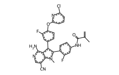 C=C(C)C(=O)Nc1ccc(-c2c(-c3ccc(Oc4cccc(Cl)n4)c(F)c3)c3c(N)ncc(C#N)c3n2C)c(F)c1